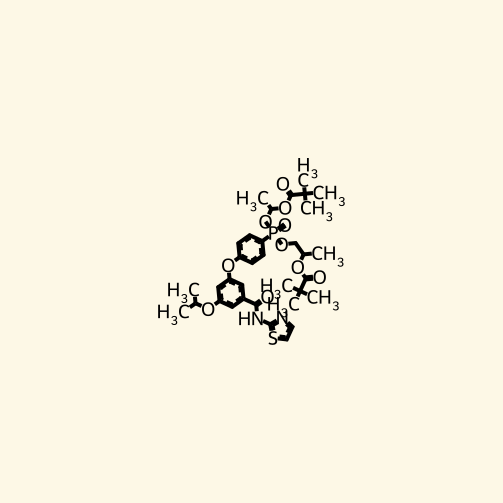 CC(C)Oc1cc(Oc2ccc(P(=O)(OCC(C)OC(=O)C(C)(C)C)OC(C)OC(=O)C(C)(C)C)cc2)cc(C(=O)Nc2nccs2)c1